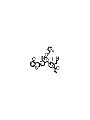 C=CC(=O)N1CCN(C2NC(OCC3CCCN3C)NC3C[C@@]4(CCC32)Cc2c(OC)cccc2N(C)C4)CC1CC#N